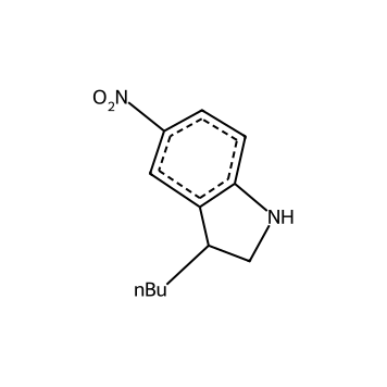 CCCCC1CNc2ccc([N+](=O)[O-])cc21